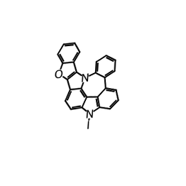 In1c2cccc3c4ccccc4n4c5c6ccccc6oc5c5ccc1c(c32)c54